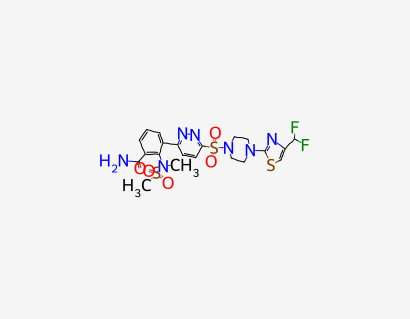 CN(c1c(C(N)=O)cccc1-c1ccc(S(=O)(=O)N2CCN(c3nc(C(F)F)cs3)CC2)nn1)S(C)(=O)=O